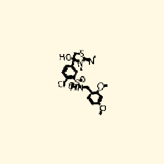 C/N=C1\SCC(O)(c2ccc(Cl)c(S(=O)(=O)NCc3ccc(OC)cc3OC)c2)N1C